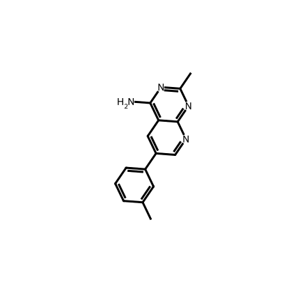 Cc1cccc(-c2cnc3nc(C)nc(N)c3c2)c1